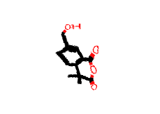 CC1(C)C(=O)OC(=O)c2cc(CO)ccc21